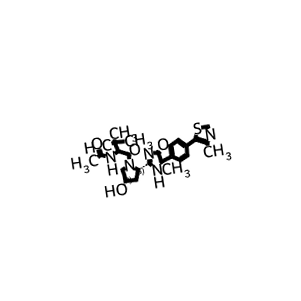 CC(=O)NC(C(=O)N1C[C@H](O)C[C@H]1C1=NC(=O)C(C)(c2ccc(-c3scnc3C)cc2)N1)C(C)(C)C